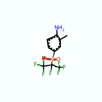 Cc1cc(S(=O)(=O)C(F)(C(F)(F)F)C(F)(F)F)ccc1N